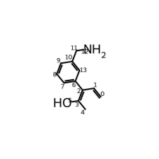 C=C/C(=C(\C)O)c1cccc(CN)c1